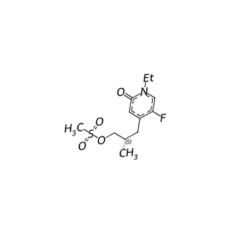 CCn1cc(F)c(C[C@H](C)COS(C)(=O)=O)cc1=O